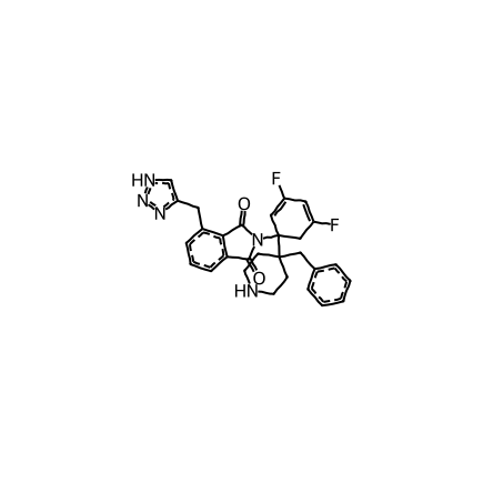 O=C1c2cccc(Cc3c[nH]nn3)c2C(=O)N1C1(C2(Cc3ccccc3)CCNCC2)C=C(F)C=C(F)C1